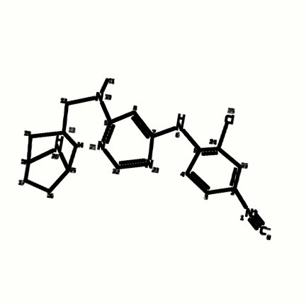 [C-]#[N+]c1ccc(Nc2cc(N(C)CC3CC4CCC(C3)N4)ncn2)c(Cl)c1